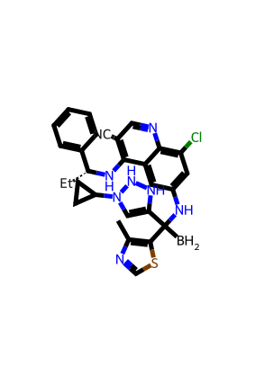 BC(Nc1cc(Cl)c2ncc(C#N)c(N[C@H](CC)c3ccccc3)c2c1)(C1=CN(C2CC2)NN1)c1scnc1C